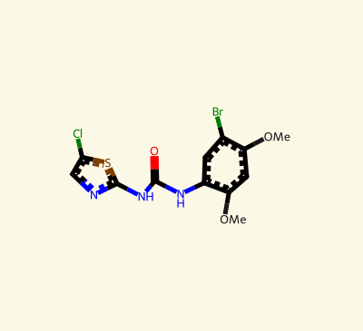 COc1cc(OC)c(NC(=O)Nc2ncc(Cl)s2)cc1Br